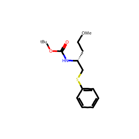 COCC[C@H](CSc1ccccc1)NC(=O)OC(C)(C)C